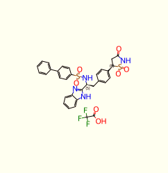 O=C(O)C(F)(F)F.O=C1C[C@H](c2ccc(C[C@H](NS(=O)(=O)c3ccc(-c4ccccc4)cc3)c3nc4ccccc4[nH]3)cc2)S(=O)(=O)N1